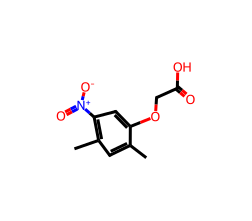 Cc1cc(C)c([N+](=O)[O-])cc1OCC(=O)O